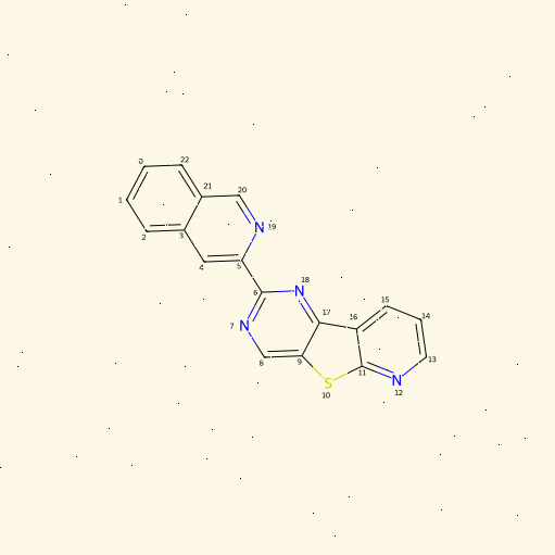 c1ccc2cc(-c3ncc4sc5ncccc5c4n3)ncc2c1